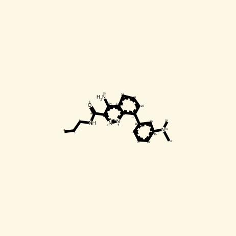 CCCNC(=O)c1nnc2c(-c3cccc(N(C)C)c3)cccc2c1N